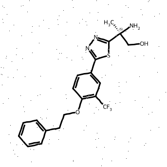 C[C@](N)(CO)c1nnc(-c2ccc(OCCc3ccccc3)c(C(F)(F)F)c2)s1